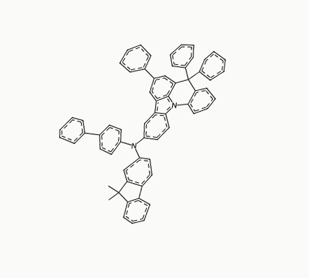 CC1(C)c2ccccc2-c2ccc(N(c3ccc(-c4ccccc4)cc3)c3ccc4c(c3)c3cc(-c5ccccc5)cc5c3n4-c3ccccc3C5(c3ccccc3)c3ccccc3)cc21